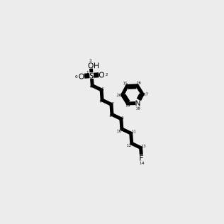 O=S(=O)(O)CCCCCCCCCCF.c1ccncc1